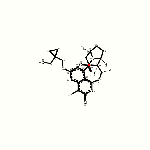 C[C@@H]1Oc2nc(Cl)c(F)c3nc(OCC4(CO)CC4)nc(c23)N2C[C@H]3CC[C@@H]([C@@H]12)N3C(=O)OC(C)(C)C